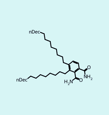 CCCCCCCCCCCCCCCCCCc1ccc(C(N)=O)c(C(N)=O)c1CCCCCCCCCCCCCCCCCC